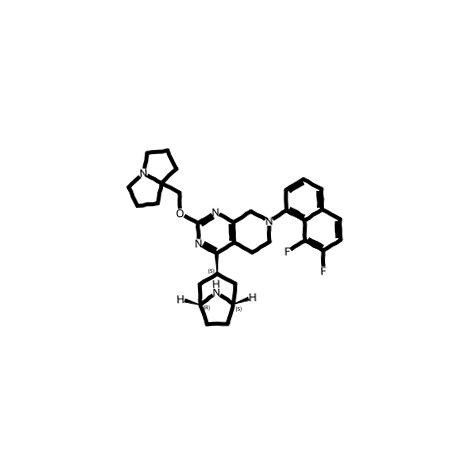 Fc1ccc2cccc(N3CCc4c(nc(OCC56CCCN5CCC6)nc4[C@@H]4C[C@H]5CC[C@@H](C4)N5)C3)c2c1F